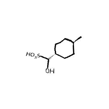 C[C@H]1CC[C@H](C(O)S(=O)(=O)O)CC1